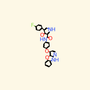 O=C(Nc1ccc(Oc2ccnc3c2Oc2ccccc2N3)cc1)c1c[nH]cc(-c2ccc(F)cc2)c1=O